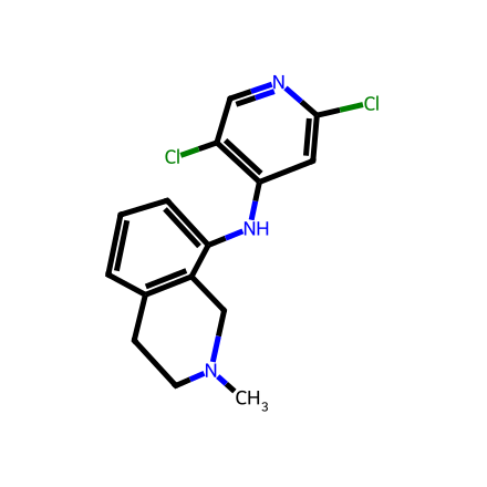 CN1CCc2cccc(Nc3cc(Cl)ncc3Cl)c2C1